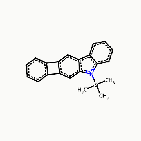 C[Si](C)(C)n1c2ccccc2c2cc3c(cc21)-c1ccccc1-3